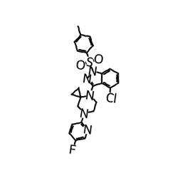 Cc1ccc(S(=O)(=O)n2nc(N3CCN(c4ccc(F)cn4)CC34CC4)c3c(Cl)cccc32)cc1